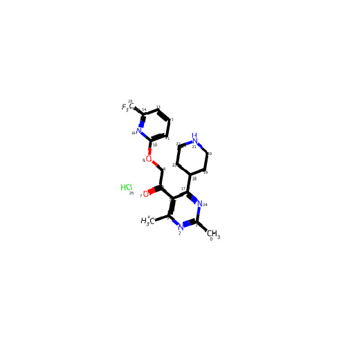 Cc1nc(C)c(C(=O)COc2cccc(C(F)(F)F)n2)c(C2CCNCC2)n1.Cl